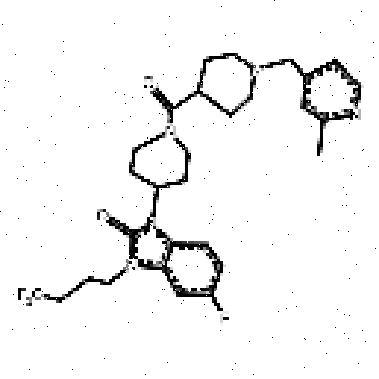 Cc1cc(CN2CCC(C(=O)N3CCC(n4c(=O)n(CCCC(F)(F)F)c5cc(F)ccc54)CC3)CC2)ccn1